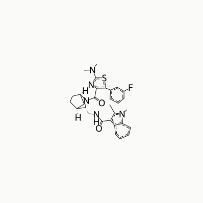 Cc1c(C(=O)NC[C@@H]2[C@H]3CC[C@H](C3)N2C(=O)c2nc(N(C)C)sc2-c2cccc(F)c2)c2ccccc2n1C